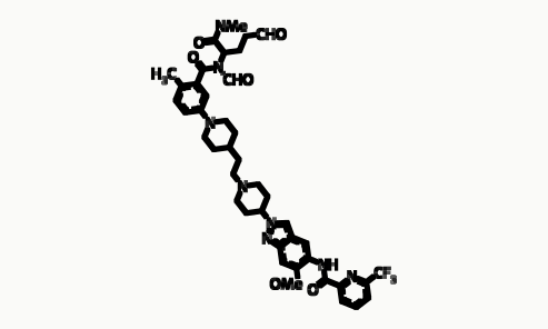 CNC(=O)C(CCC=O)N(C=O)C(=O)c1cc(N2CCC(CCN3CCC(n4cc5cc(NC(=O)c6cccc(C(F)(F)F)n6)c(OC)cc5n4)CC3)CC2)ccc1C